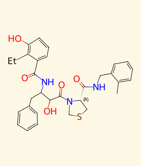 CCc1c(O)cccc1C(=O)NC(Cc1ccccc1)C(O)C(=O)N1CSC[C@H]1C(=O)NCc1ccccc1C